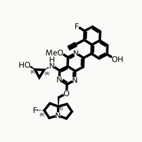 C#Cc1c(F)ccc2cc(O)cc(-c3cc4nc(OC[C@@]56CCCN5C[C@H](F)C6)nc(N[C@@H]5C[C@H]5O)c4c(OC)n3)c12